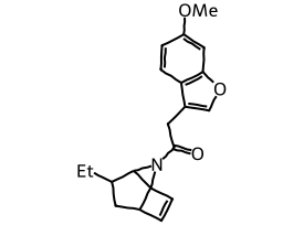 CCC1CC2C=CC23C1N3C(=O)Cc1coc2cc(OC)ccc12